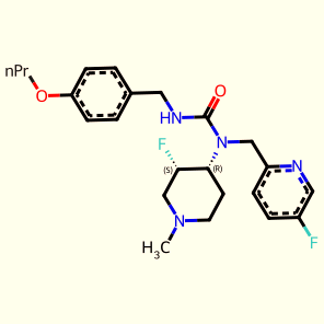 CCCOc1ccc(CNC(=O)N(Cc2ccc(F)cn2)[C@@H]2CCN(C)C[C@@H]2F)cc1